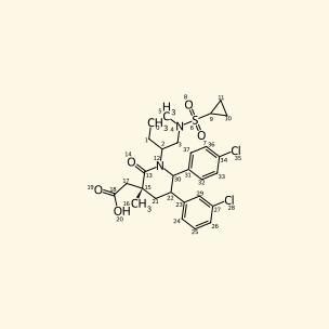 CCC(CN(C)S(=O)(=O)C1CC1)N1C(=O)[C@@](C)(CC(=O)O)CC(c2cccc(Cl)c2)C1c1ccc(Cl)cc1